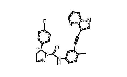 Cc1ccc(NC(=O)N2N=CC[C@H]2c2ccc(F)cc2)cc1C#Cc1cnc2cccnn12